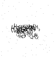 COC(=O)NC(C(=O)NC(Cc1ccc(-c2ccccn2)cc1)C(O)CC(Cc1ccccc1)NC(=O)C(N(C)C(=O)O)C(C)(C)SC)C(C)(C)C